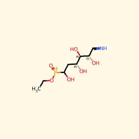 CCO[PH](=O)C(O)C[C@@H](O)[C@@H](O)[C@@H](O)C=N